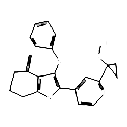 O=CNC1(c2cc(-c3[nH]c4c(c3Nc3ccccc3)C(=O)CCC4)ccn2)CC1